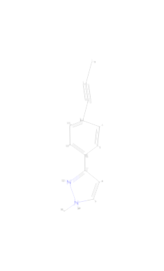 [CH2]C#Cc1ccc(-c2ccn(C)n2)cc1